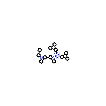 c1ccc(-c2cccc(-n3c4ccccc4c4cc(-c5ccc6c(c5)c5ccccc5n6-c5nc(-c6ccc7c8ccccc8c8ccccc8c7c6)nc(-c6ccc7c8ccccc8c8ccccc8c7c6)n5)ccc43)c2)cc1